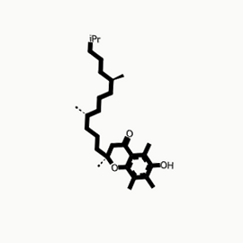 Cc1c(C)c2c(c(C)c1O)C(=O)C[C@](C)(CCC[C@H](C)CCC[C@H](C)CCCC(C)C)O2